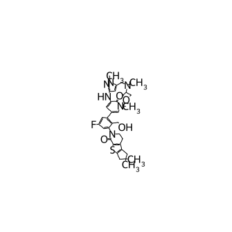 CN(Cc1cc(Nc2cc(-c3cc(F)cc(N4CCc5c(sc6c5CC(C)(C)C6)C4=O)c3CO)cn(C)c2=O)nn1C)C1COC1